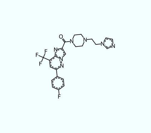 O=C(c1cn2nc(-c3ccc(F)cc3)cc(C(F)(F)F)c2n1)N1CCN(CCn2ccnc2)CC1